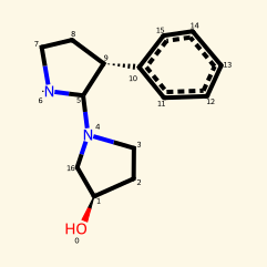 O[C@@H]1CCN(C2[N]CC[C@@H]2c2ccccc2)C1